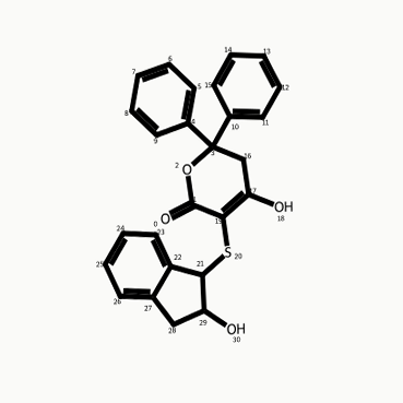 O=C1OC(c2ccccc2)(c2ccccc2)CC(O)=C1SC1c2ccccc2CC1O